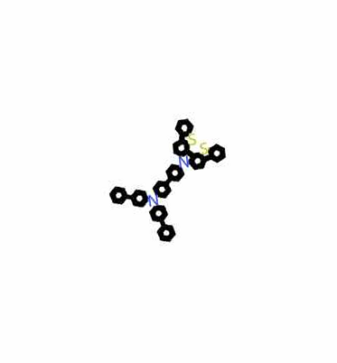 c1ccc(-c2ccc(N(c3ccc(-c4ccccc4)cc3)c3ccc(-c4ccc(-n5c6ccc7c8ccccc8sc7c6c6c7sc8ccccc8c7ccc65)cc4)cc3)cc2)cc1